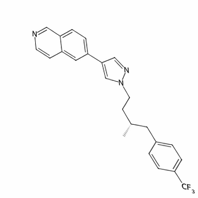 C[C@H](CCn1cc(-c2ccc3cnccc3c2)cn1)Cc1ccc(C(F)(F)F)cc1